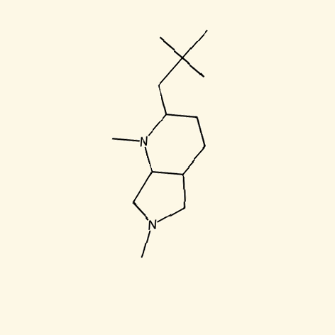 CN1CC2CCC(CC(C)(C)C)N(C)C2C1